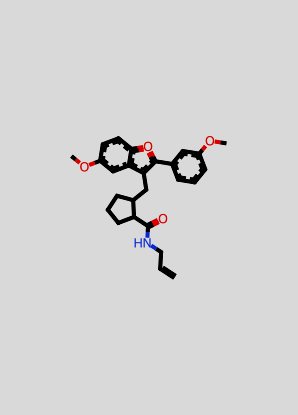 C=CCNC(=O)C1CCCC1Cc1c(-c2cccc(OC)c2)oc2ccc(OC)cc12